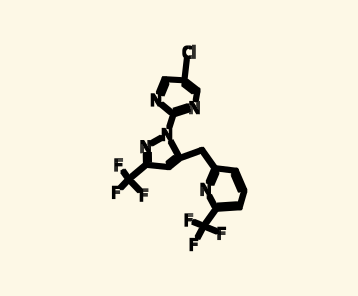 FC(F)(F)c1cccc(Cc2cc(C(F)(F)F)nn2-c2ncc(Cl)cn2)n1